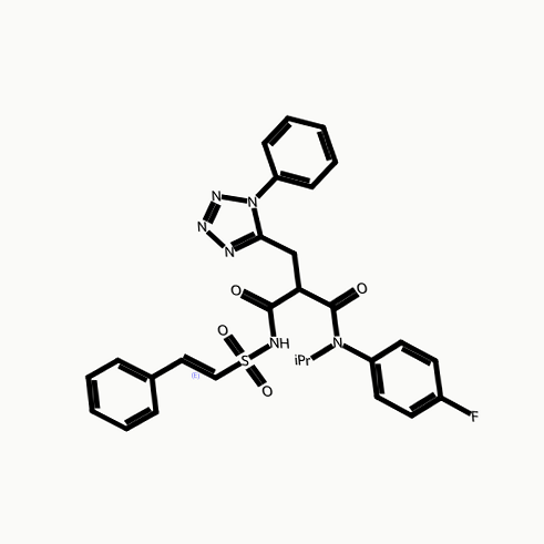 CC(C)N(C(=O)C(Cc1nnnn1-c1ccccc1)C(=O)NS(=O)(=O)/C=C/c1ccccc1)c1ccc(F)cc1